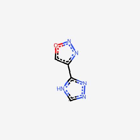 [c]1nnc(-c2conn2)[nH]1